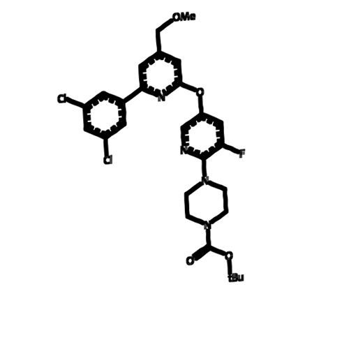 COCc1cc(Oc2cnc(N3CCN(C(=O)OC(C)(C)C)CC3)c(F)c2)nc(-c2cc(Cl)cc(Cl)c2)c1